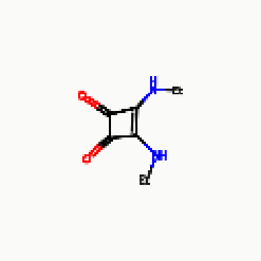 CCNc1c(NCC)c(=O)c1=O